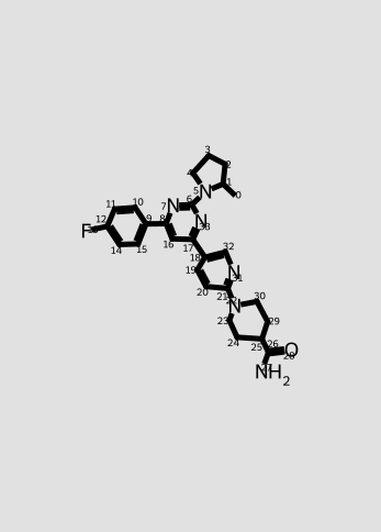 CC1CCCN1c1nc(-c2ccc(F)cc2)cc(-c2ccc(N3CCC(C(N)=O)CC3)nc2)n1